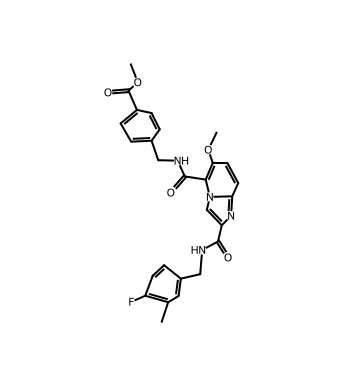 COC(=O)c1ccc(CNC(=O)c2c(OC)ccc3nc(C(=O)NCc4ccc(F)c(C)c4)cn23)cc1